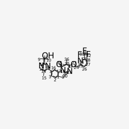 Cc1ccc(-c2nc(C(C)(C)O)ncc2C)cc1-n1c(C)nc(OCc2cccc(C(F)(F)F)n2)c(C)c1=O